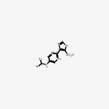 CCOC(=O)c1ocnc1-c1ncc(OC(F)F)cn1